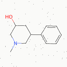 CN1CC(O)CC(c2ccccc2)C1